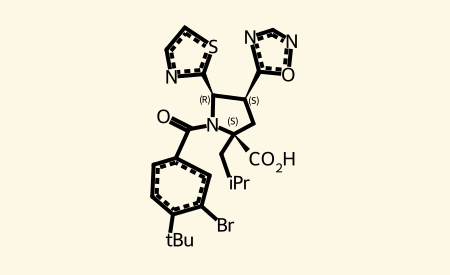 CC(C)C[C@@]1(C(=O)O)C[C@H](c2ncno2)[C@H](c2nccs2)N1C(=O)c1ccc(C(C)(C)C)c(Br)c1